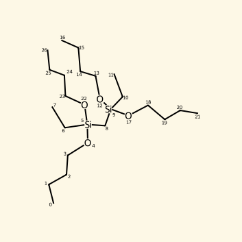 CCCCO[Si](CC)(C[Si](CC)(OCCCC)OCCCC)OCCCC